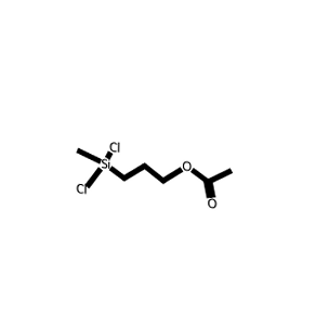 CC(=O)OCCC[Si](C)(Cl)Cl